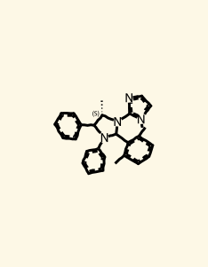 Cc1cccc(C)c1C1N(c2ccccc2)C(c2ccccc2)[C@H](C)N1c1nccn1C